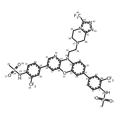 CS(=O)(=O)Nc1ccc(-c2ccc3c(c2)Oc2cc(-c4ccc(NS(C)(=O)=O)c(C(F)(F)F)c4)cnc2N3CCN2CCn3c(nnc3C(F)(F)F)C2)cc1C(F)(F)F